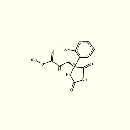 CC(C)(C)OC(=O)NC[C@]1(c2ncccc2C(F)(F)F)NC(=O)NC1=O